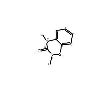 CN1Sc2ccccc2N(C)C1=O